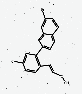 COC=Cc1ccc(Cl)cc1-c1ccc2ccc(Br)cc2c1